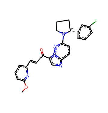 COc1cccc(C=CC(=O)c2cnc3ccc(N4CCC[C@@H]4c4cccc(F)c4)nn23)n1